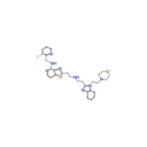 Fc1cccnc1CNc1nccc2oc(CCNCCc3nc4ccccc4n3CCN3CCOCC3)nc12